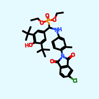 CCOP(=O)(OCC)C(Nc1ccc(N2C(=O)c3ccc(Cl)cc3C2=O)c(C)c1)c1cc(C(C)(C)C)c(O)c(C(C)(C)C)c1